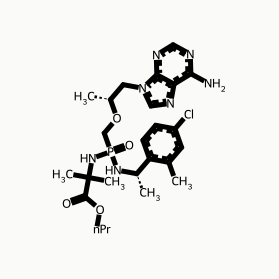 CCCOC(=O)C(C)(C)NP(=O)(CO[C@H](C)Cn1cnc2c(N)ncnc21)N[C@@H](C)c1ccc(Cl)cc1C